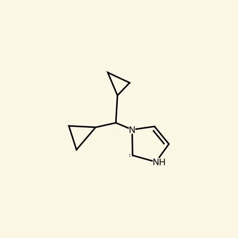 [C]1NC=CN1C(C1CC1)C1CC1